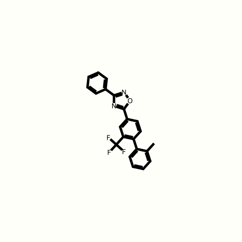 Cc1ccccc1-c1ccc(-c2nc(-c3ccccc3)no2)cc1C(F)(F)F